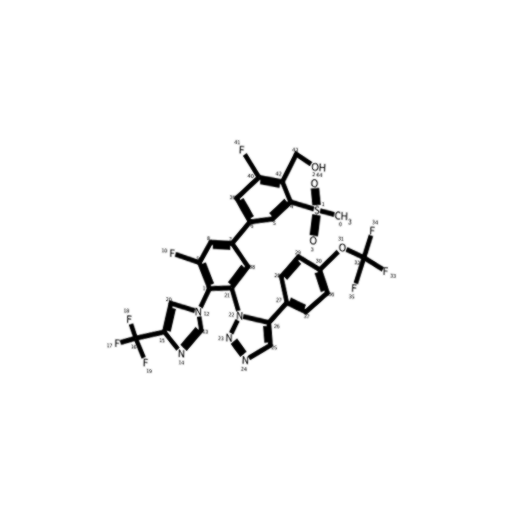 CS(=O)(=O)c1cc(-c2cc(F)c(-n3cnc(C(F)(F)F)c3)c(-n3nncc3-c3ccc(OC(F)(F)F)cc3)c2)cc(F)c1CO